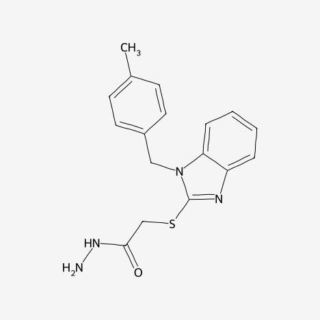 Cc1ccc(Cn2c(SCC(=O)NN)nc3ccccc32)cc1